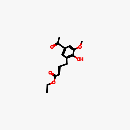 CCOC(=O)C=CCc1cc(C(C)=O)cc(OC)c1O